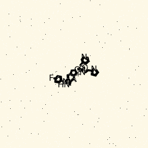 C[C@H]1C2=CNN(c3ccc(F)cc3)C2=CC2=C1[C@@H](CN(CCc1ccccn1)S(=O)(=O)Cc1cccnc1)CC2